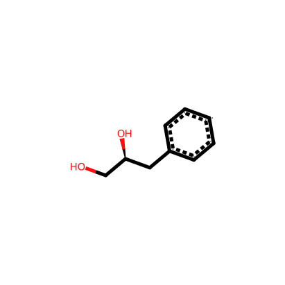 OC[C@@H](O)Cc1cc[c]cc1